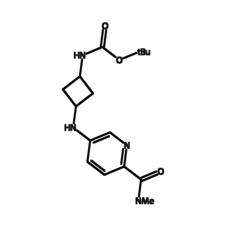 CNC(=O)c1ccc(NC2CC(NC(=O)OC(C)(C)C)C2)cn1